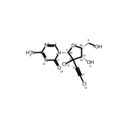 Nc1ncn([C@@H]2O[C@H](CO)[C@H](O)C2(Cl)C#CCl)c(=O)n1